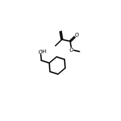 C=C(C)C(=O)OC.OCC1CCCCC1